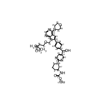 CC(C)(C)OC(=O)N[C@@H]1CCCN(c2ncc(C(O)c3ccc(-c4cc5c(N6CCOCC6)ncnc5n4COCC[Si](C)(C)C)cc3)cn2)C1